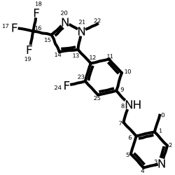 Cc1cnccc1CNc1ccc(-c2cc(C(F)(F)F)nn2C)c(F)c1